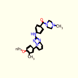 CCCOc1ccc(-c2cccc3nc(Nc4ccc(C(=O)N5CCN(C)CC5)cc4)nn23)cc1C